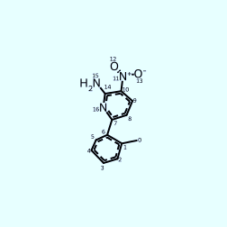 Cc1ccccc1-c1ccc([N+](=O)[O-])c(N)n1